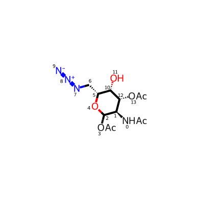 CC(=O)N[C@H]1C(OC(C)=O)O[C@H](CN=[N+]=[N-])[C@H](O)[C@@H]1OC(C)=O